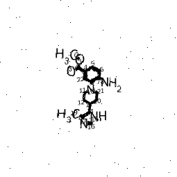 COC(=O)c1ccc(N)c(N2CCC(c3[nH]cnc3C)CC2)c1